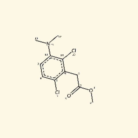 COC(=O)Cc1c(Cl)ccc(N(C)C)c1Cl